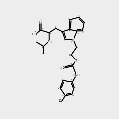 CC(C)OC(Cc1cn(CCOC(=O)Nc2ccc(Cl)cc2)c2ccccc12)C(=O)O